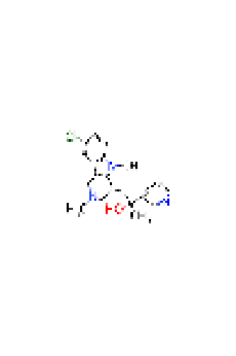 CN1Cc2c(n(C)c3ccc(Cl)cc23)C(CC(C)(O)c2cccnc2)C1